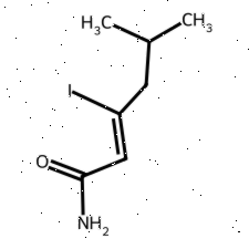 CC(C)CC(I)=CC(N)=O